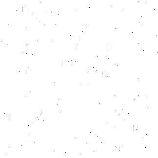 CS(=O)(=O)c1cc(F)c(NC2CCCCN(C3CCN(c4cnccn4)CC3)C2=O)cc1F.Cl